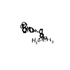 COc1cc2c(cc1OC)[C@@H](CCN1CCN(c3cccc4c3CCOO4)CC1)CC2